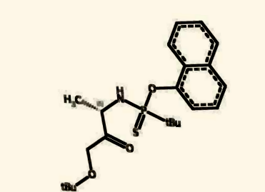 C[C@H](NP(=S)(Oc1cccc2ccccc12)C(C)(C)C)C(=O)COC(C)(C)C